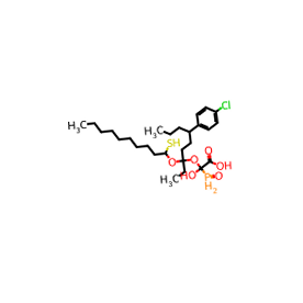 CCCCCCCCCC(S)OC(CC)(CCC(CCC)c1ccc(Cl)cc1)OC(O)([PH2]=O)C(=O)O